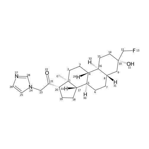 C[C@]12CC[C@H]3[C@@H](CC[C@H]4C[C@](O)(CF)CC[C@@H]43)[C@@H]1CC[C@@H]2C(=O)Cn1ccnc1